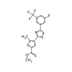 COC(=S)c1cc(-c2nc(-c3cc(F)cc(C(F)(F)F)c3)cs2)c(C)s1